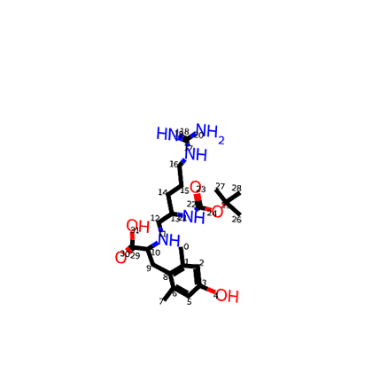 Cc1cc(O)cc(C)c1CC(NCC(CCCNC(=N)N)NC(=O)OC(C)(C)C)C(=O)O